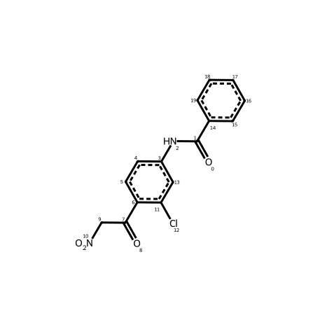 O=C(Nc1ccc(C(=O)C[N+](=O)[O-])c(Cl)c1)c1ccccc1